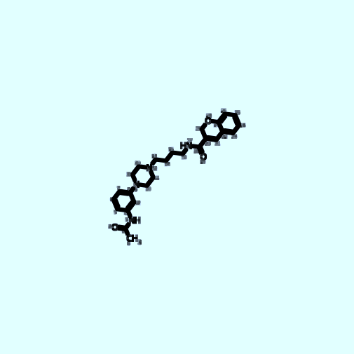 CC(=O)Nc1cccc(N2CCN(CCCCNC(=O)C3=Cc4ccccc4OC3)CC2)c1